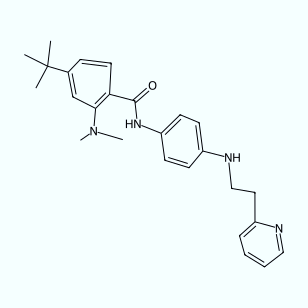 CN(C)c1cc(C(C)(C)C)ccc1C(=O)Nc1ccc(NCCc2ccccn2)cc1